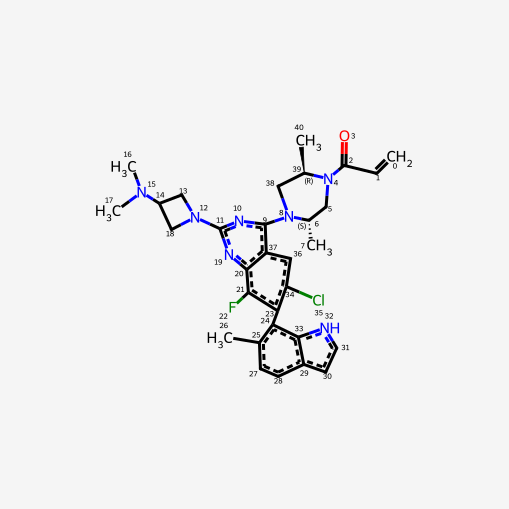 C=CC(=O)N1C[C@H](C)N(c2nc(N3CC(N(C)C)C3)nc3c(F)c(-c4c(C)ccc5cc[nH]c45)c(Cl)cc23)C[C@H]1C